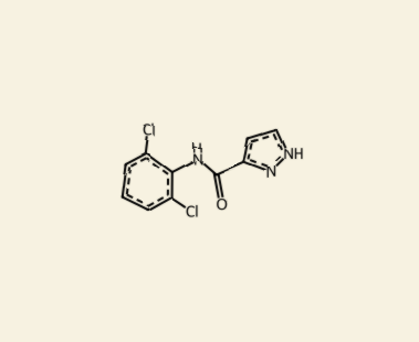 O=C(Nc1c(Cl)cccc1Cl)c1cc[nH]n1